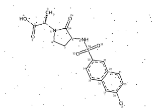 C[C@H](C(=O)O)N1CCC(NS(=O)(=O)c2ccc3cc(Cl)ccc3c2)C1=O